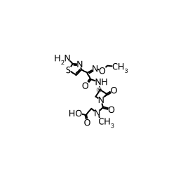 CCON=C(C(=O)N[C@H]1CN(C(=O)N(C)CC(=O)O)C1=O)c1csc(N)n1